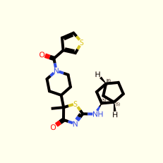 CC1(C2CCN(C(=O)c3ccsc3)CC2)SC(N[C@H]2C[C@@H]3CC[C@H]2C3)=NC1=O